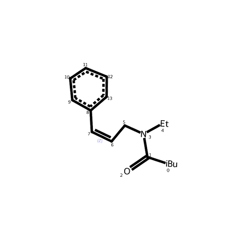 CCC(C)C(=O)N(CC)C/C=C\c1ccccc1